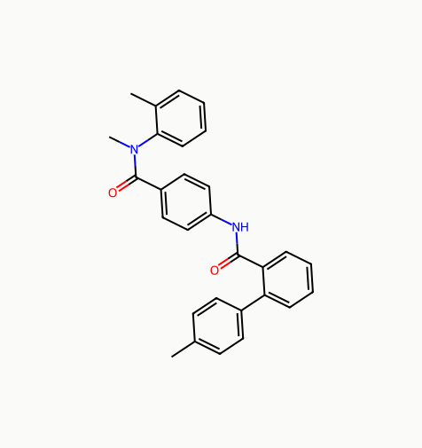 Cc1ccc(-c2ccccc2C(=O)Nc2ccc(C(=O)N(C)c3ccccc3C)cc2)cc1